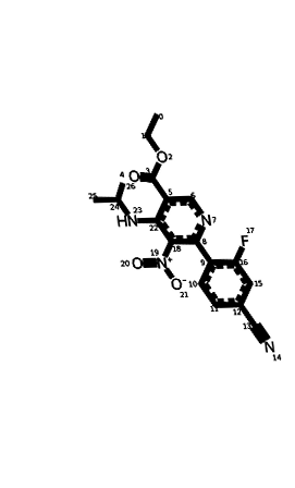 CCOC(=O)c1cnc(-c2ccc(C#N)cc2F)c([N+](=O)[O-])c1NC(C)C